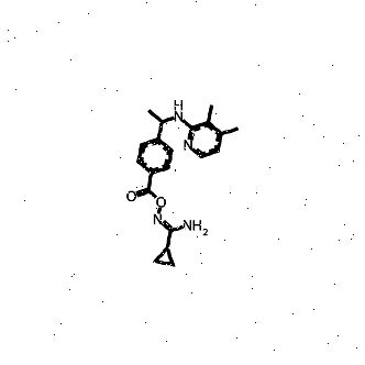 Cc1ccnc(NC(C)c2ccc(C(=O)O/N=C(\N)C3CC3)cc2)c1C